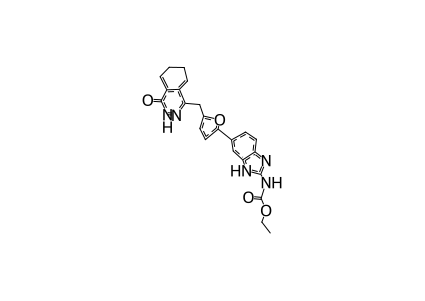 CCOC(=O)Nc1nc2ccc(-c3ccc(Cc4n[nH]c(=O)c5c4=CCCC=5)o3)cc2[nH]1